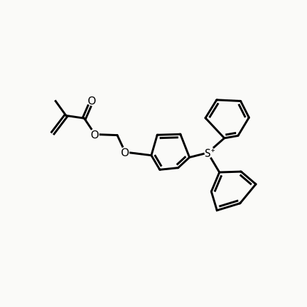 C=C(C)C(=O)OCOc1ccc([S+](c2ccccc2)c2ccccc2)cc1